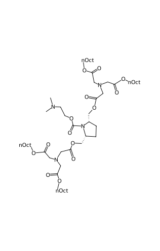 CCCCCCCCOC(=O)CN(CC(=O)OCCCCCCCC)CC(=O)OC[C@H]1CC[C@@H](COC(=O)CN(CC(=O)OCCCCCCCC)CC(=O)OCCCCCCCC)N1C(=O)OCCN(C)C